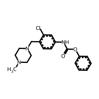 CN1CCN(Cc2ccc(NC(=O)Oc3ccccc3)cc2Cl)CC1